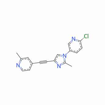 Cc1cc(C#Cc2cn(-c3ccc(Cl)nc3)c(C)n2)ccn1